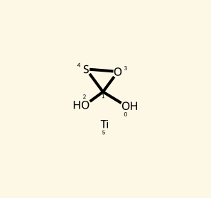 OC1(O)OS1.[Ti]